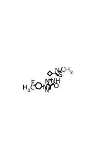 Cc1nc([C@@H]2CC[C@H]2c2nc3c(cnn3C3CCC(C)(F)CC3)c(=O)[nH]2)cs1